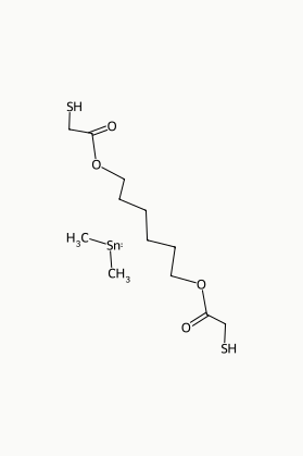 O=C(CS)OCCCCCCOC(=O)CS.[CH3][Sn][CH3]